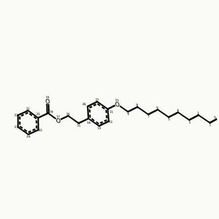 CCCCCCCCCCOc1ccc(CCOC(=O)c2ccccc2)cc1